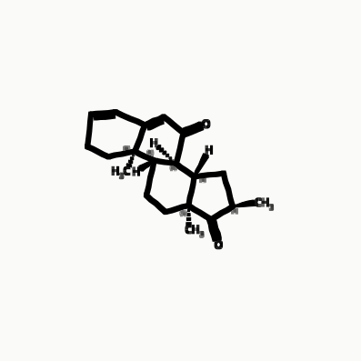 C[C@@H]1C[C@H]2[C@@H]3C(=O)C=C4C=CCC[C@]4(C)[C@H]3CC[C@]2(C)C1=O